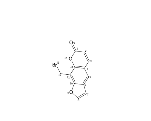 O=c1ccc2cc3ccoc3c(CBr)c2o1